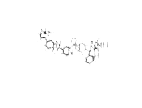 CC1=NN(C(c2ccccc2)C2CCN(C(=O)c3cc(-c4nc5cc(-c6ccnn6C)ccc5o4)ccn3)CC2)NN1